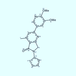 COc1cc(-c2cc(C)c3c(n2)CN(c2cccs2)C3=O)cnc1OC